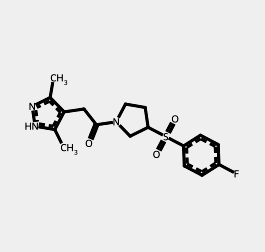 Cc1n[nH]c(C)c1CC(=O)N1CCC(S(=O)(=O)c2ccc(F)cc2)C1